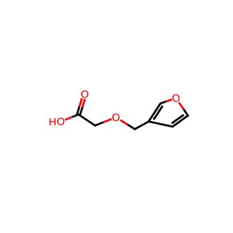 O=C(O)COCc1ccoc1